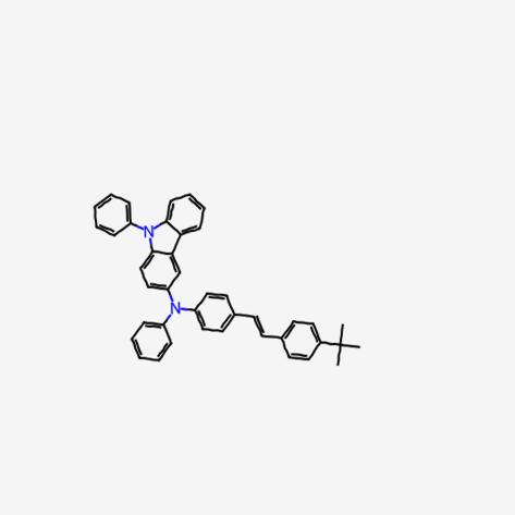 CC(C)(C)c1ccc(C=Cc2ccc(N(c3ccccc3)c3ccc4c(c3)c3ccccc3n4-c3ccccc3)cc2)cc1